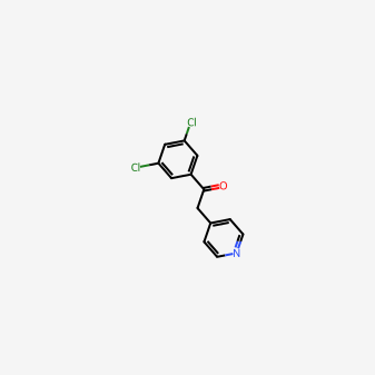 O=C(Cc1ccncc1)c1cc(Cl)cc(Cl)c1